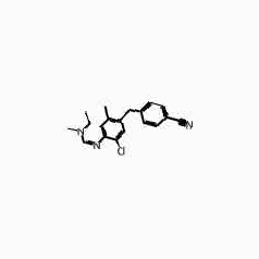 CCN(C)/C=N\c1cc(C)c(Cc2ccc(C#N)cc2)cc1Cl